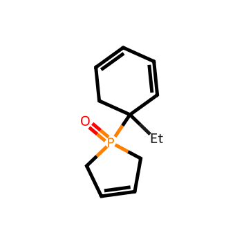 CCC1(P2(=O)CC=CC2)C=CC=CC1